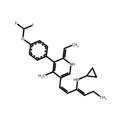 C/C=C1\NC=C(/C=C\C(=C\CC)NC2CC2)C(C)=C1c1ccc(OC(F)F)cc1